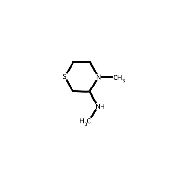 CNC1CSCCN1C